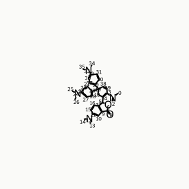 CN(C)C1=C(C2OC(=O)c3cc(N(C)C)ccc32)CC(c2ccc(N(C)C)cc2)(c2ccc(N(C)C)cc2)C=C1